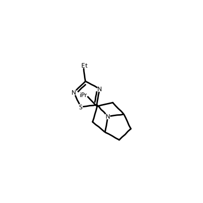 CCc1nsc(N2C3CCC2CC(C(C)C)C3)n1